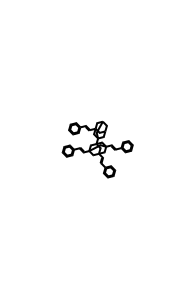 C(=CC12CC3CC(C1)CC(C14CC5(C=Cc6ccccc6)CC(C=Cc6ccccc6)(CC(C=Cc6ccccc6)(C5)C1)C4)(C3)C2)c1ccccc1